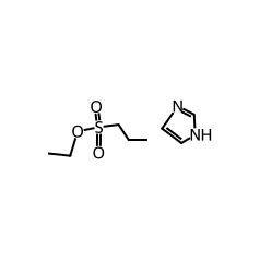 CCCS(=O)(=O)OCC.c1c[nH]cn1